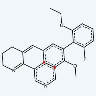 CCOc1cccc(F)c1-c1cc(/C=C2/CCCN=C2c2cccnc2)ccc1OC